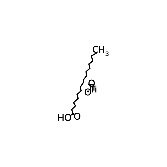 CCCCCCCCCCCCCCCCCC(=O)O.[O]=[Ti]=[O].[Ti]